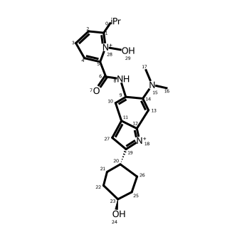 CC(C)c1cccc(C(=O)Nc2cc3c(cc2N(C)C)=[N+]=C([C@H]2CC[C@H](O)CC2)C=3)[n+]1O